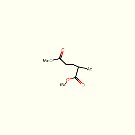 COC(=O)CCC(C(C)=O)C(=O)OC(C)(C)C